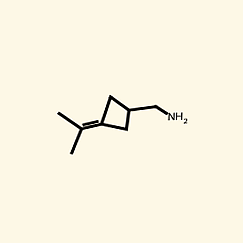 CC(C)=C1CC(CN)C1